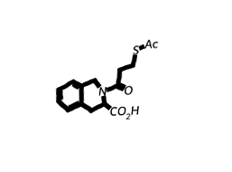 CC(=O)SCCC(=O)N1Cc2ccccc2CC1C(=O)O